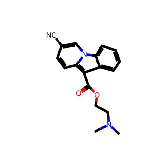 CN(C)CCOC(=O)c1c2ccccc2n2cc(C#N)ccc12